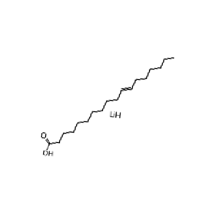 CCCCCC/C=C/CCCCCCCCCC(=O)O.[LiH]